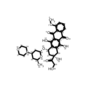 COc1cccc2c1C(=O)c1c(O)c3c(c(O)c1C2=O)C[C@@](O)(C(=O)CO)C[C@@H]3O[C@H]1C[C@H](N2CCOCC2)C[C@H](C)O1